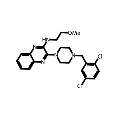 COCCNc1nc2ccccc2nc1N1CCN(Cc2cc(Cl)ccc2Cl)CC1